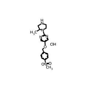 CC1CNCCN1c1ncc(OCc2ccc(S(C)(=O)=O)cc2)cn1.Cl